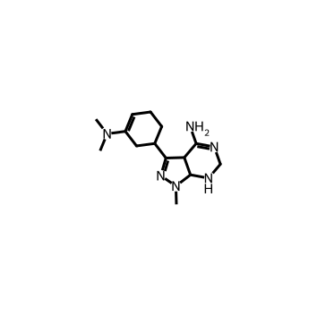 CN(C)C1=CCCC(C2=NN(C)C3NCN=C(N)C23)C1